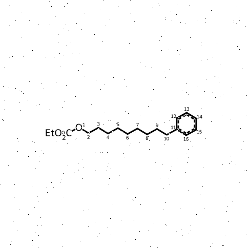 CCOC(=O)OCCCCCCCCCc1ccccc1